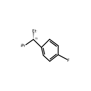 C[CH][C@H](c1ccc(F)cc1)C(C)C